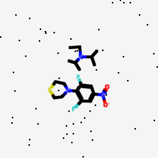 CCN(C(C)C)C(C)C.O=[N+]([O-])c1cc(F)c(N2CCSCC2)c(F)c1